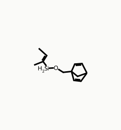 CC=C(C)[SiH2]OCC12C=CC(C=C1)C2